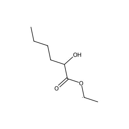 C[CH]OC(=O)C(O)CCCC